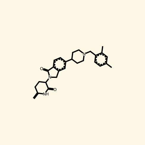 C=C1CCC(N2Cc3cc(C4CCN(Cc5ccc(C)cc5C)CC4)ccc3C2=O)C(=O)N1